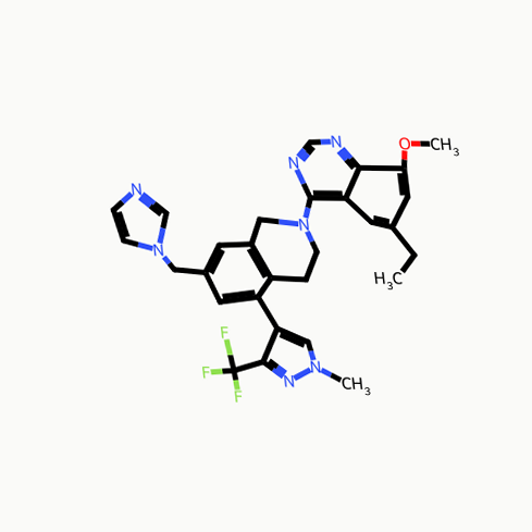 CCc1cc(OC)c2ncnc(N3CCc4c(cc(Cn5ccnc5)cc4-c4cn(C)nc4C(F)(F)F)C3)c2c1